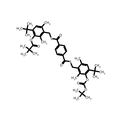 Cc1cc(C(C)(C)C)c(OC(=O)OC(C)(C)C)c(C)c1CSC(=O)c1ccc(C(=O)SCc2c(C)cc(C(C)(C)C)c(OC(=O)C(C)(C)C)c2C)cc1